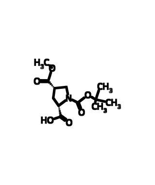 COC(=O)[C@H]1C[C@@H](C(=O)O)N(C(=O)OC(C)(C)C)C1